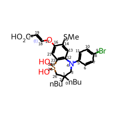 CCCCC1(CCCC)CN(c2ccc(Br)cc2)c2cc(SC)c(O/C=C/C(=O)O)cc2S(O)(O)C1